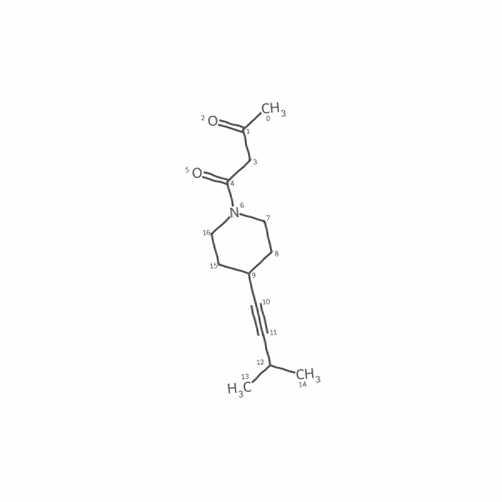 CC(=O)CC(=O)N1CCC(C#CC(C)C)CC1